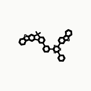 CC1(C)c2ccc(-c3cccc(-c4nc(-c5ccccc5)nc(-c5ccc6c(c5)oc5ccccc56)n4)c3)cc2-c2cc3c(cc21)oc1ccccc13